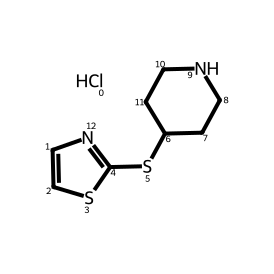 Cl.c1csc(SC2CCNCC2)n1